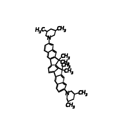 CC1CC(C)CN(c2ccc3cc4c(cc3c2)C(C)(C)c2c-4ccc3c2C(C)(C)c2cc4cc(N5CC(C)CC(C)C5)ccc4cc2-3)C1